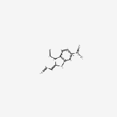 CCN1/C(=C\C=O)Sc2cc([N+](=O)[O-])ccc21